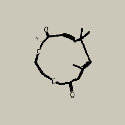 C/C1=C\CC(C)(C)/C=C/C(=O)[C@@H](C)CCCCCC(=O)C1